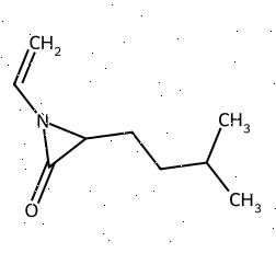 C=CN1C(=O)C1CCC(C)C